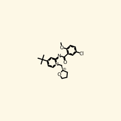 COc1ccc(Cl)cc1C(=O)N=c1cc(C(C)(C)C)ccn1C[C@H]1CCCO1